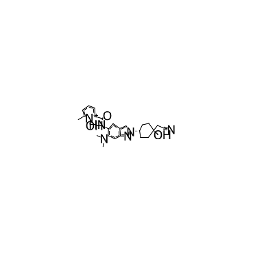 Cc1cccc(C(=O)Nc2cc3cn([C@H]4CC[C@@](O)(CC#N)CC4)nc3cc2N(C)C)[n+]1O